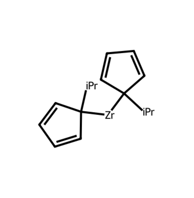 CC(C)[C]1([Zr][C]2(C(C)C)C=CC=C2)C=CC=C1